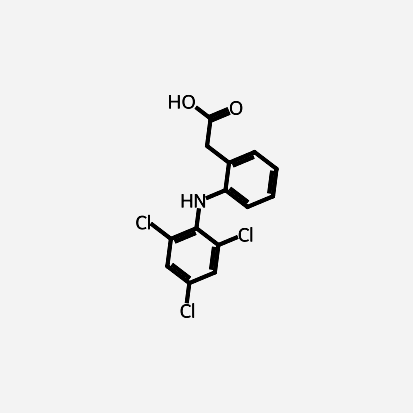 O=C(O)Cc1ccccc1Nc1c(Cl)cc(Cl)cc1Cl